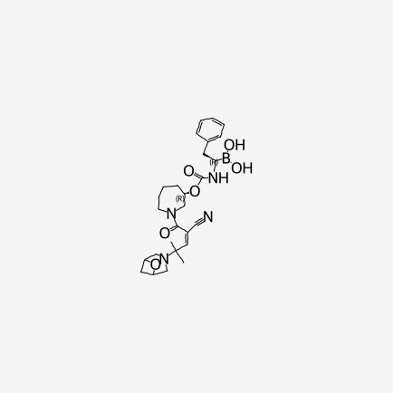 CC(C)(C=C(C#N)C(=O)N1CCCC[C@@H](OC(=O)N[C@@H](Cc2ccccc2)B(O)O)C1)N1CC2CC(C1)O2